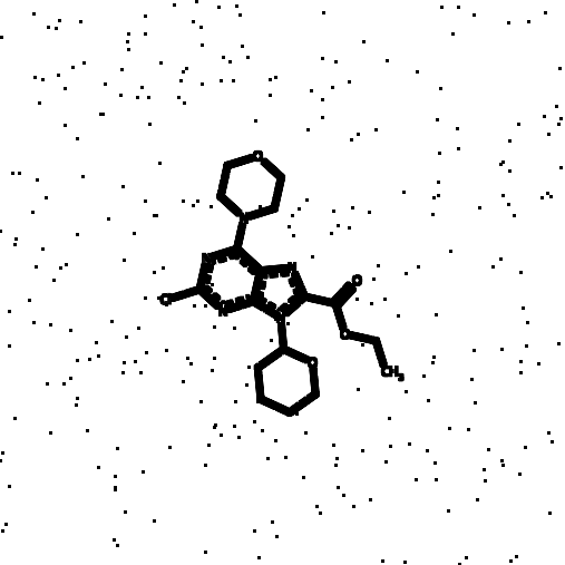 CCOC(=O)c1nc2c(N3CCOCC3)nc(Cl)nc2n1C1CCCCO1